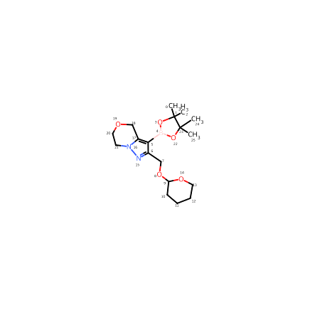 CC1(C)OB(c2c(COC3CCCCO3)nn3c2COCC3)OC1(C)C